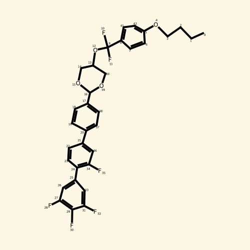 CCCCOc1ccc(C(F)(F)OC2COC(c3ccc(-c4ccc(-c5cc(F)c(F)c(F)c5)c(F)c4)cc3)OC2)cc1